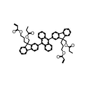 C=CC(=O)OCCCC1(COC(=O)CC)c2ccccc2-c2ccc(-c3c4ccccc4c(-c4ccc5c(c4)C(CCCOC(=O)C=C)(COC(=O)CC)c4ccccc4-5)c4ccccc34)cc21